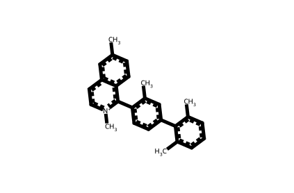 Cc1ccc2c(-c3ccc(-c4c(C)cccc4C)cc3C)[n+](C)ccc2c1